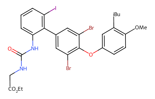 CCOC(=O)CNC(=O)Nc1cccc(I)c1-c1cc(Br)c(Oc2ccc(OC)c(C(C)CC)c2)c(Br)c1